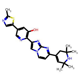 Cc1ncc(-c2cnc(-c3cn4ccc(C5=CC(C)(C)NC(C)(C)C5)nc4n3)c(O)c2)s1